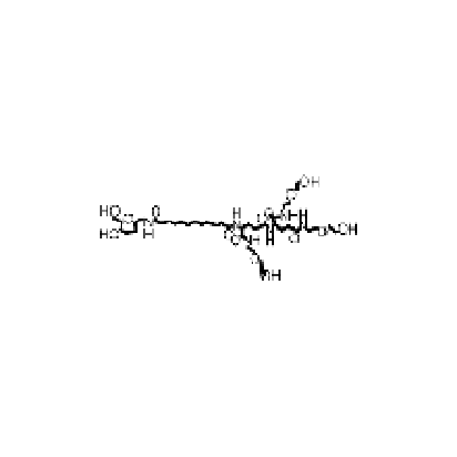 O=C(CCC(NC(=O)CCC(NC(=O)CCCCCCCCCCC(=O)NCC1CCC(O)C(CO)O1)C(=O)NCCOCCO)C(=O)NCCOCCO)NCCOCCO